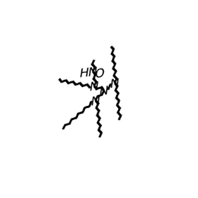 CCCCCCCCCCN(CCCCCCCCCC)CCN(CCN(CCCCCCCCCC)CCCCCCCCCC)CCN(CCCCCCCCCC)CCC(=O)NCCC